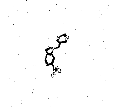 O=[N+]([O-])c1ccc2ccn(Cc3cncnc3)c2c1